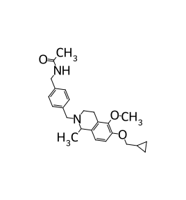 COc1c(OCC2CC2)ccc2c1CCN(Cc1ccc(CNC(C)=O)cc1)C2C